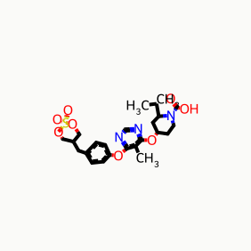 Cc1c(Oc2ccc(CC3COS(=O)(=O)OC3)cc2)ncnc1OC1CCN(C(=O)O)C(C(C)C)C1